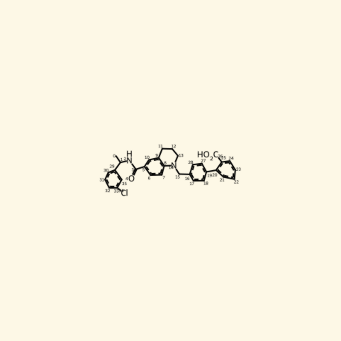 CC(NC(=O)c1ccc2c(c1)CCCN2Cc1ccc(-c2ccccc2C(=O)O)cc1)c1cccc(Cl)c1